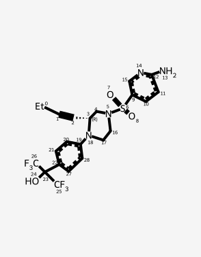 CCC#C[C@@H]1CN(S(=O)(=O)c2ccc(N)nc2)CCN1c1ccc(C(O)(C(F)(F)F)C(F)(F)F)cc1